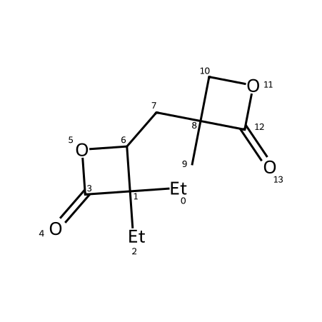 CCC1(CC)C(=O)OC1CC1(C)COC1=O